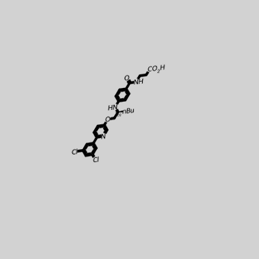 CCCC[C@@H](COc1ccc(-c2cc(Cl)cc(Cl)c2)nc1)Nc1ccc(C(=O)NCCC(=O)O)cc1